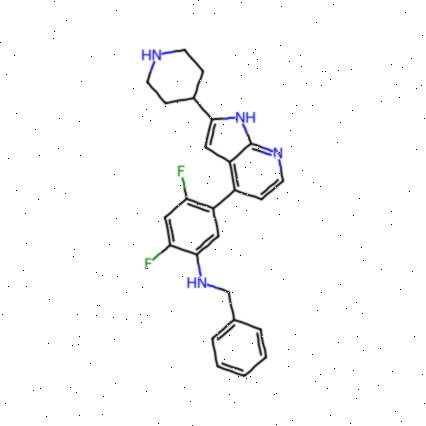 Fc1cc(F)c(-c2ccnc3[nH]c(C4CCNCC4)cc23)cc1NCc1ccccc1